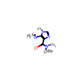 C=Nc1c(C(=O)N(C)OC)ncn1CC